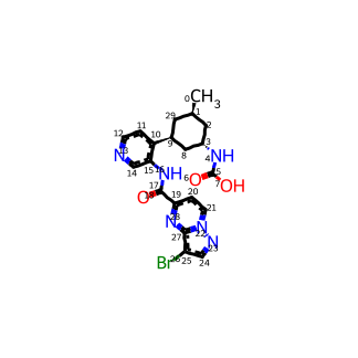 C[C@H]1C[C@H](NC(=O)O)C[C@@H](c2ccncc2NC(=O)c2ccn3ncc(Br)c3n2)C1